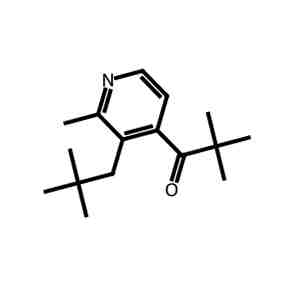 Cc1nccc(C(=O)C(C)(C)C)c1CC(C)(C)C